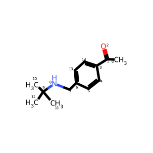 CC(=O)c1ccc(CNC(C)(C)C)cc1